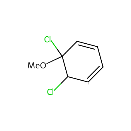 COC1(Cl)C=CC=[C]C1Cl